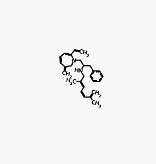 C=CC1=CC=CC(=C)CN1CC(Cc1ccccc1)NC/C(C)=C/C=C\C(=C)C